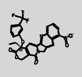 CC[C@@]1(Oc2cccc(C(F)(F)F)c2)C(=O)OCc2c1cc1n(c2=O)Cc2cc3c([N+](=O)[O-])cccc3nc2-1